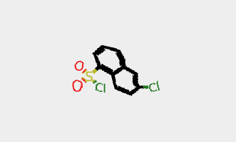 O=S(=O)(Cl)c1cccc2cc(Cl)ccc12